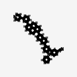 N#Cc1ccc2c(c1)c1cc(-c3ccc4cc(-c5ccc6ccc7c(-c8cccc(-c9ccncc9)n8)ccc8ccc5c6c87)ccc4c3)ccc1n2-c1ccccc1